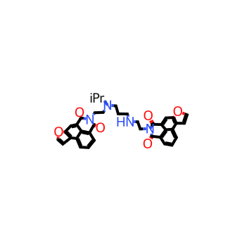 CC(C)N(CCCNCCN1C(=O)c2cccc3c2c(cc2occc23)C1=O)CCN1C(=O)c2cccc3c2c(cc2occc23)C1=O